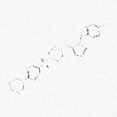 C[C@H](c1ccc(F)cc1)n1cncc1CN1CCN(S(=O)(=O)c2cnc(N3CCNCC3)cn2)CC1